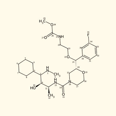 CNC(C1CCCCC1)[C@H](O)[C@H](C)NC(=O)N1CCO[C@@H](C(OCCNC(=O)OC)c2cccc(F)c2)C1